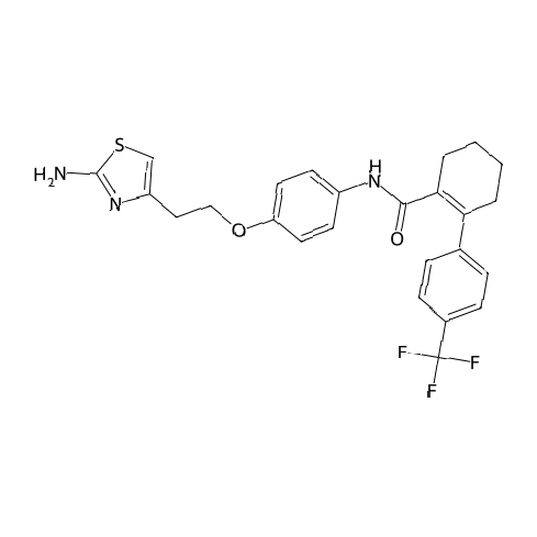 Nc1nc(CCOc2ccc(NC(=O)C3=C(c4ccc(C(F)(F)F)cc4)CCCC3)cc2)cs1